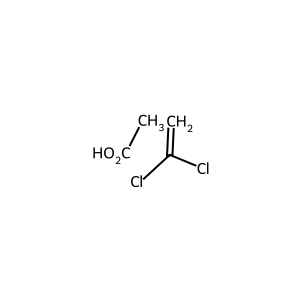 C=C(Cl)Cl.CC(=O)O